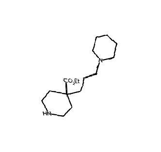 CCOC(=O)C1(CCCN2CCCCC2)CCNCC1